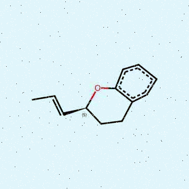 CC=C[C@@H]1CCc2ccccc2O1